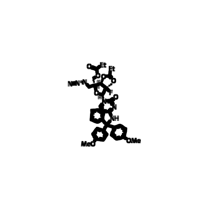 CCC(=O)OC[C@@]1(CN=[N+]=[N-])O[C@@H](n2ccc(NC(c3ccccc3)(c3ccc(OC)cc3)c3ccc(OC)cc3)nc2=O)[C@](C)(F)[C@@H]1OC(=O)CC